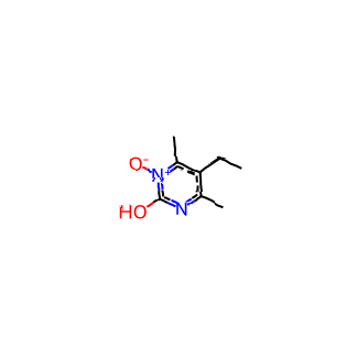 CCc1c(C)nc(O)[n+]([O-])c1C